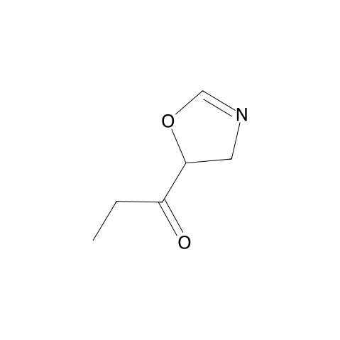 CCC(=O)C1CN=CO1